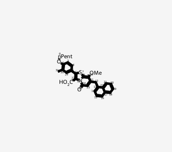 CCCCCOc1ccc(-c2sc3c(OC)c(Cc4cccc5ccccc45)cc(=O)n3c2C(=O)O)cc1C